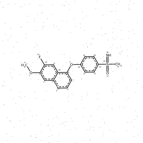 COc1cc2nccc(Oc3ccc(S(C)(=N)=O)cc3)c2cc1F